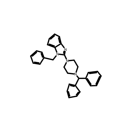 c1ccc(Cn2c(N3CCN(C(c4ccccc4)c4ccccc4)CC3)nc3ccccc32)cc1